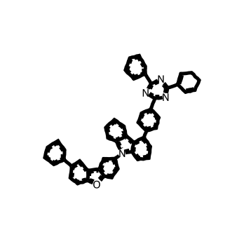 C1=CC(c2nc(-c3ccccc3)nc(-c3ccc(-c4cccc5c4c4ccccc4n5-c4ccc5oc6ccc(-c7ccccc7)cc6c5c4)cc3)n2)=CCC1